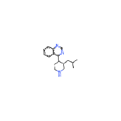 CC(C)CC1CNCCC1c1ncnc2ccccc12